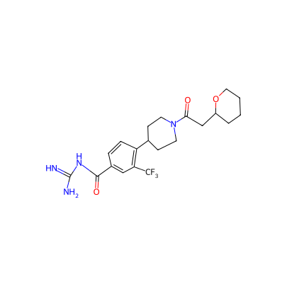 N=C(N)NC(=O)c1ccc(C2CCN(C(=O)CC3CCCCO3)CC2)c(C(F)(F)F)c1